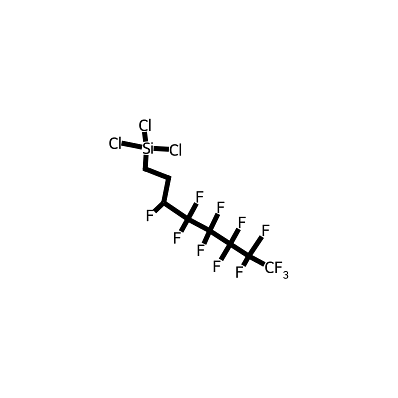 FC(CC[Si](Cl)(Cl)Cl)C(F)(F)C(F)(F)C(F)(F)C(F)(F)C(F)(F)F